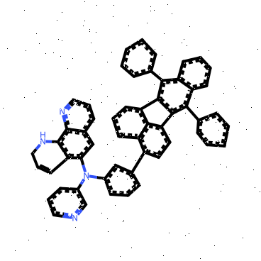 C1=Cc2c(N(c3cccnc3)c3cccc(-c4ccc5c6c(cccc46)-c4c-5c(-c5ccccc5)c5ccccc5c4-c4ccccc4)c3)cc3cccnc3c2NC1